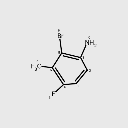 Nc1ccc(F)c(C(F)(F)F)c1Br